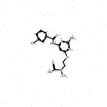 CN(CCOc1cc(NC(=O)c2cccc(Cl)c2)nc(N)n1)C(=O)O